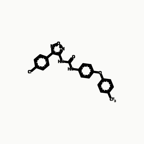 O=C(Nc1ccc(Oc2ccc(C(F)(F)F)cc2)cc1)Nc1nonc1-c1ccc(Cl)cc1